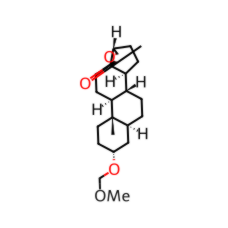 COCO[C@@H]1CC[C@@]2(C)[C@@H](CC[C@@H]3[C@@H]2CC[C@]24C(=O)OC[C@H]2CC[C@@H]34)C1